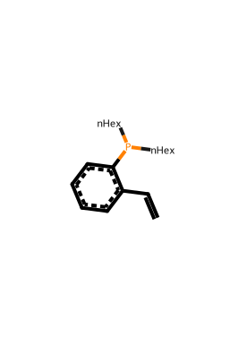 C=Cc1ccccc1P(CCCCCC)CCCCCC